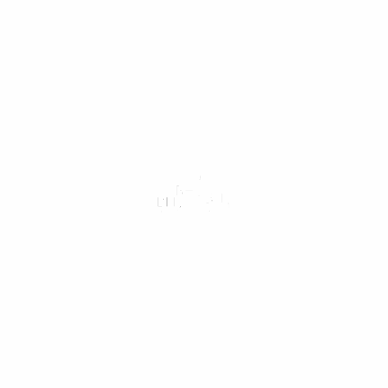 [B+3].[BH4-].[BH4-].[BH4-]